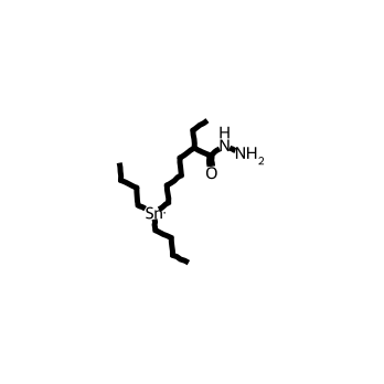 CCC[CH2][Sn]([CH2]CCC)[CH2]CCCC(CC)C(=O)NN